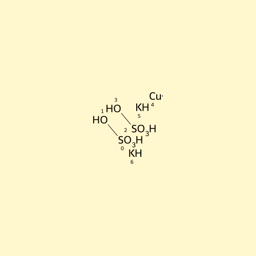 O=S(=O)(O)O.O=S(=O)(O)O.[Cu].[KH].[KH]